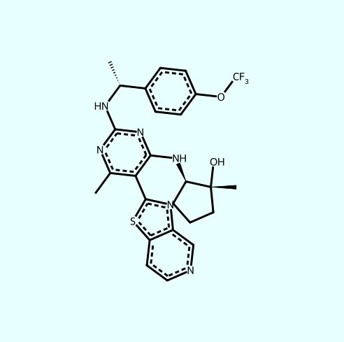 Cc1nc(N[C@H](C)c2ccc(OC(F)(F)F)cc2)nc(N[C@@H]2CCC[C@@]2(C)O)c1-c1nc2cnccc2s1